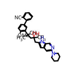 COc1ccc(-c2ccccc2C#N)cc1C(C)(C)CC(O)(Cc1cc2cc(N3CCCCC3)ncc2[nH]1)C(F)(F)F